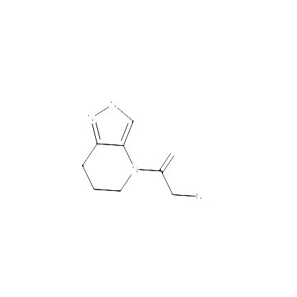 NCC(=O)N1CCCc2n[nH]cc21